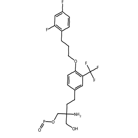 NC(CO)(CCc1ccc(OCCCc2ccc(F)cc2F)c(C(F)(F)F)c1)COP=O